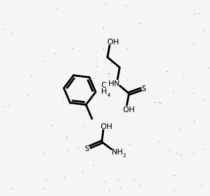 C.Cc1ccccc1.NC(O)=S.OCCNC(O)=S